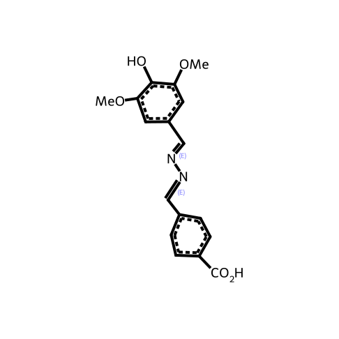 COc1cc(/C=N/N=C/c2ccc(C(=O)O)cc2)cc(OC)c1O